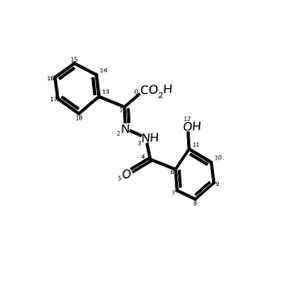 O=C(O)/C(=N\NC(=O)c1ccccc1O)c1ccccc1